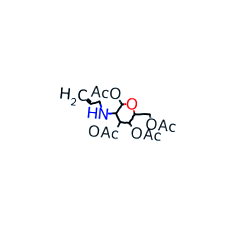 C=CCNC1C(OC(C)=O)OC(COC(C)=O)C(OC(C)=O)C1OC(C)=O